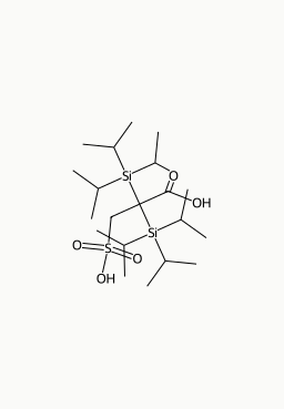 CC(C)[Si](C(C)C)(C(C)C)C(CS(=O)(=O)O)(C(=O)O)[Si](C(C)C)(C(C)C)C(C)C